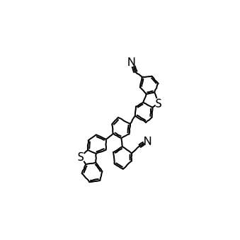 N#Cc1ccc2sc3ccc(-c4ccc(-c5ccc6sc7ccccc7c6c5)c(-c5ccccc5C#N)c4)cc3c2c1